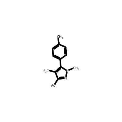 CC(=O)c1nn(C)c(-c2ccc(C)cc2)c1C